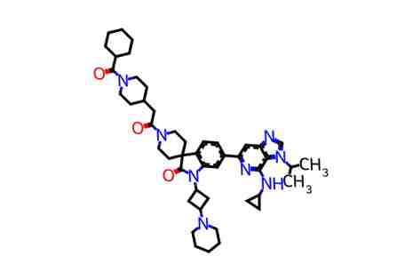 CC(C)n1cnc2cc(-c3ccc4c(c3)N(C3CC(N5CCCCC5)C3)C(=O)C43CCN(C(=O)CC4CCN(C(=O)C5CCCCC5)CC4)CC3)nc(NC3CC3)c21